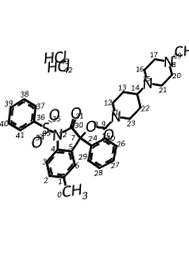 Cc1ccc2c(c1)C(OC(=O)N1CCC(N3CCN(C)CC3)CC1)(c1ccccc1)C(=O)N2S(=O)(=O)c1ccccc1.Cl.Cl